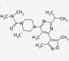 Cc1noc(C)c1-c1nc(C(C)C)nc(N2CCN(C(=O)N(C)C)[C@@H](C)C2)c1C